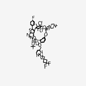 Cc1c(Cl)c2c(Cl)c(C)c1-c1c(-c3ccc(F)cc3)sc3ncnc(c13)O[C@@H](C(=O)OC(C)(C)C)Cc1cc(ccc1OCc1ccnc(N3CC4(C3)CC(F)(F)C4)n1)OC[C@@H](CN1CCN(C)CC1)O2